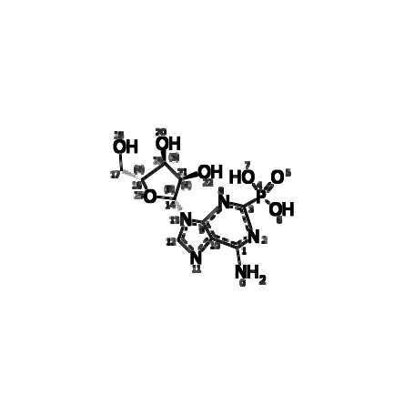 Nc1nc(P(=O)(O)O)nc2c1ncn2[C@@H]1O[C@H](CO)[C@@H](O)[C@H]1O